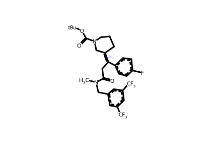 CN(Cc1cc(C(F)(F)F)cc(C(F)(F)F)c1)C(=O)C/C(=C1/CCCN(C(=O)OC(C)(C)C)C1)c1ccc(F)cc1